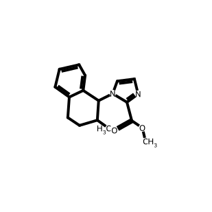 COC(=O)c1nccn1C1c2ccccc2CCC1C